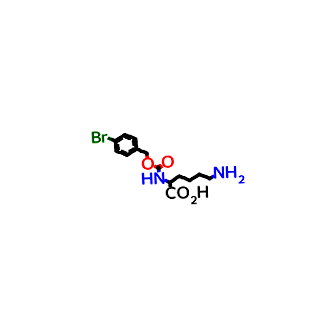 NCCCCC(NC(=O)OCc1ccc(Br)cc1)C(=O)O